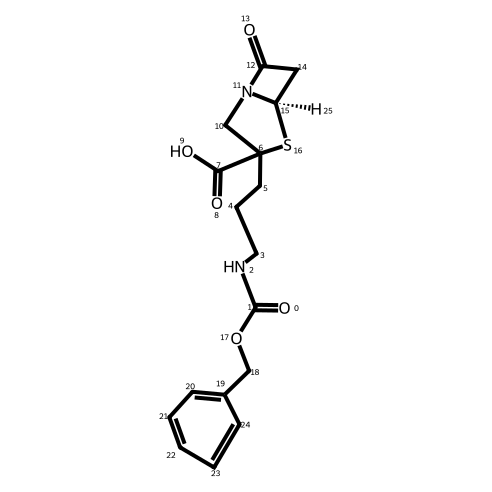 O=C(NCCCC1(C(=O)O)CN2C(=O)C[C@H]2S1)OCc1ccccc1